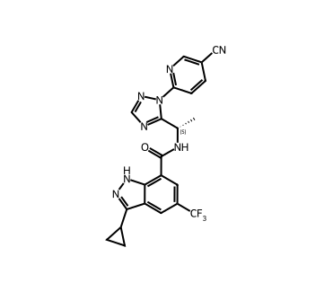 C[C@H](NC(=O)c1cc(C(F)(F)F)cc2c(C3CC3)n[nH]c12)c1ncnn1-c1ccc(C#N)cn1